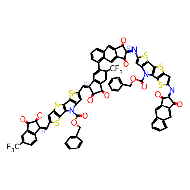 O=C1C(=O)c2cc(C(F)(F)F)ccc2/C1=C/c1cc2sc3c4sc(/C=C5\C(=O)C(=O)c6cc(C(F)(F)F)c(-c7cccc8cc9c(=O)/c(=N/c%10cc%11c(s%10)c%10sc%12cc(N=c%13c(=O)c%14cc%15ccccc%15cc%14c%13=O)sc%12c%10n%11C(=O)OCc%10ccccc%10)c(=O)c9cc78)cc65)cc4n(C(=O)OCc4ccccc4)c3c2s1